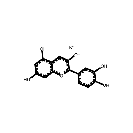 Oc1cc(O)c2cc(O)c(-c3ccc(O)c(O)c3)[o+]c2c1.[K+]